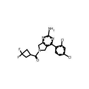 Nc1nc2c(c(-c3ccc(Cl)cc3Cl)n1)CN(C(=O)C1CC(F)(F)C1)C2